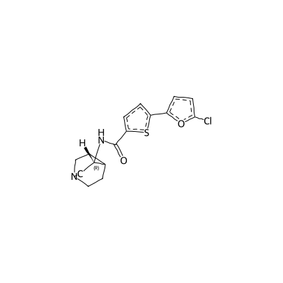 O=C(N[C@H]1CN2CCC1CC2)c1ccc(-c2ccc(Cl)o2)s1